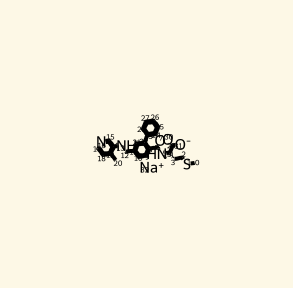 CSCC[C@H](NC(=O)c1ccc(CNc2cnccc2C)cc1-c1ccccc1)C(=O)[O-].[Na+]